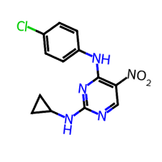 O=[N+]([O-])c1cnc(NC2CC2)nc1Nc1ccc(Cl)cc1